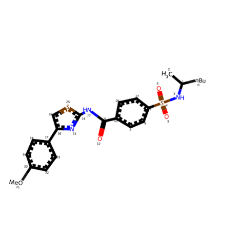 CCCCC(C)NS(=O)(=O)c1ccc(C(=O)Nc2nc(-c3ccc(OC)cc3)cs2)cc1